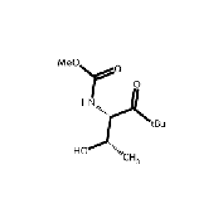 COC(=O)N[C@H](C(=O)C(C)(C)C)[C@H](C)O